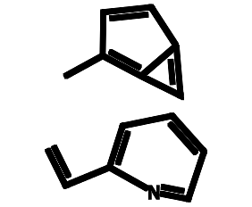 C=Cc1ccccn1.Cc1ccc2cc1-2